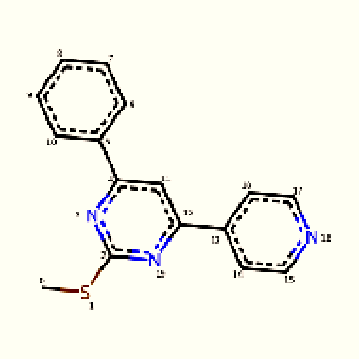 CSc1nc(-c2ccccc2)cc(-c2ccncc2)n1